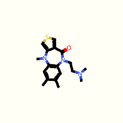 Cc1cc2c(cc1C)N(C)c1cscc1C(=O)N2CCN(C)C